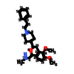 CNCC1OC(C2CCN(CCc3ccccc3)CC2)Cc2c1ccc(OC)c2OC